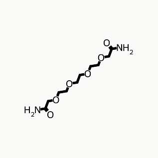 NC(=O)COCCOCCOCCOCC(N)=O